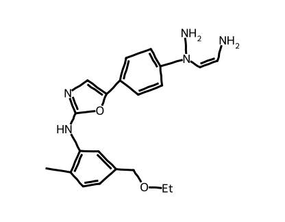 CCOCc1ccc(C)c(Nc2ncc(-c3ccc(N(N)/C=C\N)cc3)o2)c1